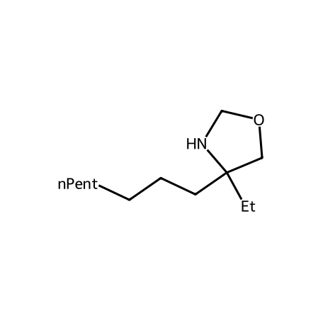 CCCCCCCCC1(CC)COCN1